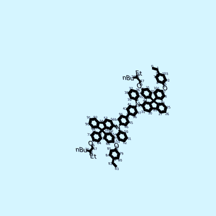 C=Cc1ccc(Oc2ccc(C3(c4ccc(OCC(CC)CCCC)cc4)c4ccccc4-c4ccc(N(c5ccccc5)c5ccc(-c6ccc(N(c7ccccc7)c7ccc8c(c7)C(c7ccc(OCC(CC)CCCC)cc7)(c7ccc(Oc9ccc(C=C)cc9)cc7)c7ccccc7-8)cc6)cc5)cc43)cc2)cc1